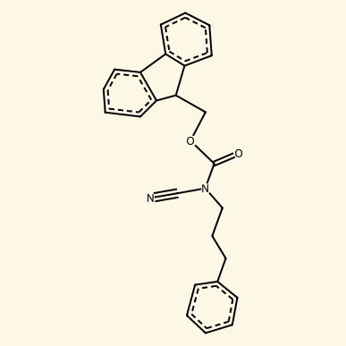 N#CN(CCCc1ccccc1)C(=O)OCC1c2ccccc2-c2ccccc21